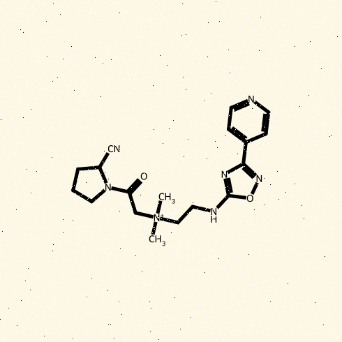 C[N+](C)(CCNc1nc(-c2ccncc2)no1)CC(=O)N1CCCC1C#N